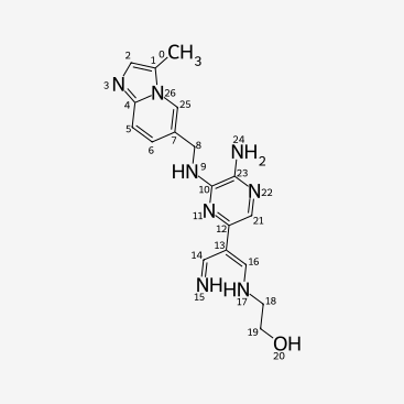 Cc1cnc2ccc(CNc3nc(/C(C=N)=C/NCCO)cnc3N)cn12